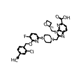 C#Cc1ccc(COc2nc(N3CCN(Cc4nc5ccc(C(=O)O)nc5n4C[C@@H]4CCO4)CC3)ccc2F)c(Cl)c1